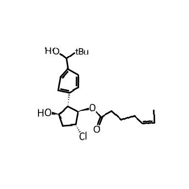 C/C=C\CCCC(=O)O[C@@H]1[C@@H](c2ccc(C(O)C(C)(C)C)cc2)[C@H](O)C[C@H]1Cl